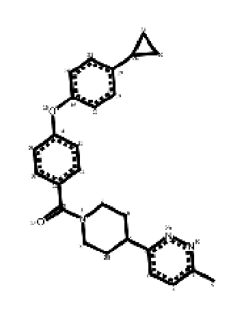 Cc1ccc(C2CCN(C(=O)c3ccc(Oc4ccc(C5CC5)cc4)cc3)CC2)nn1